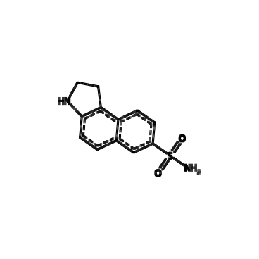 NS(=O)(=O)c1ccc2c3c(ccc2c1)NCC3